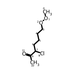 COOCCCCC(Cl)C(C)=O